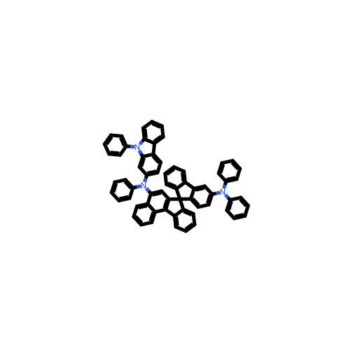 c1ccc(N(c2ccccc2)c2ccc3c(c2)-c2ccccc2C32c3ccccc3-c3c2cc(N(c2ccccc2)c2ccc4c5ccccc5n(-c5ccccc5)c4c2)c2ccccc32)cc1